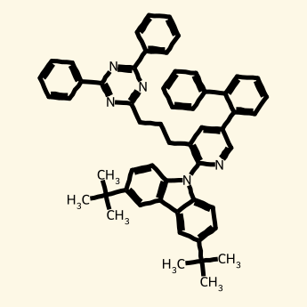 CC(C)(C)c1ccc2c(c1)c1cc(C(C)(C)C)ccc1n2-c1ncc(-c2ccccc2-c2ccccc2)cc1CCCc1nc(-c2ccccc2)nc(-c2ccccc2)n1